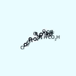 CC(O)(NC(=O)c1ccc2c(c1)nc(CN1CC=C(c3cccc(OCc4ccc(Cl)cc4F)n3)CC1)n2C[C@@H]1CCO1)C(=O)N1CC(F)(F)C[C@H]1C(=O)O